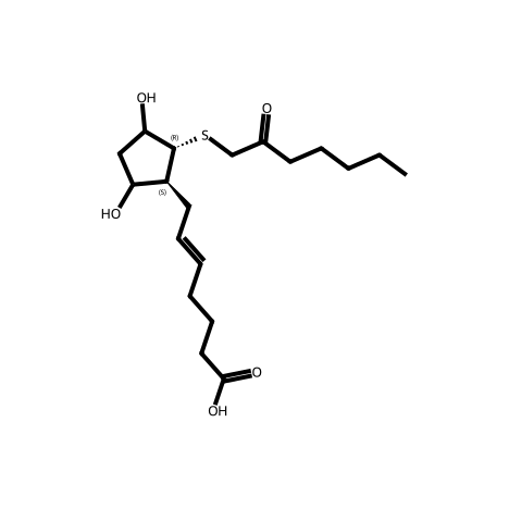 CCCCCC(=O)CS[C@H]1C(O)CC(O)[C@@H]1CC=CCCCC(=O)O